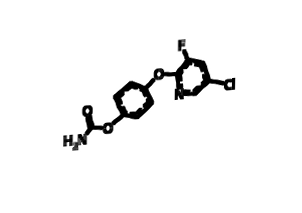 NC(=O)Oc1ccc(Oc2ncc(Cl)cc2F)cc1